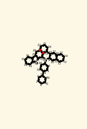 c1ccc(-c2ccc(N(c3cc4ccccc4cc3-c3ccccc3)c3cccc4c3sc3ccccc34)cc2)cc1